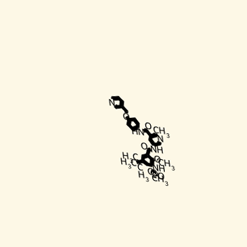 COc1c(NS(C)(=O)=O)cc(C(C)(C)C)cc1C(=O)Nc1cnc(C)c(C(=O)Nc2ccc(OCc3cccnc3)cc2)c1